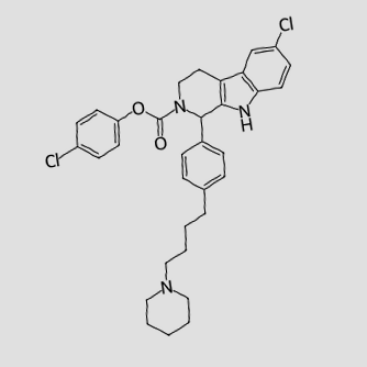 O=C(Oc1ccc(Cl)cc1)N1CCc2c([nH]c3ccc(Cl)cc23)C1c1ccc(CCCCN2CCCCC2)cc1